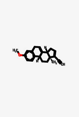 C#CC1=CC[C@H]2C3=CCc4cc(OC)ccc4[C@H]3CC[C@]12C